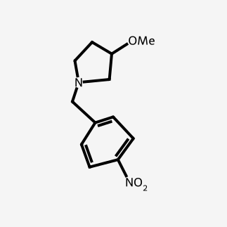 COC1CCN(Cc2ccc([N+](=O)[O-])cc2)C1